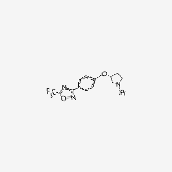 CC(C)N1CC[C@@H](Oc2ccc(-c3noc(C(F)(F)F)n3)cc2)C1